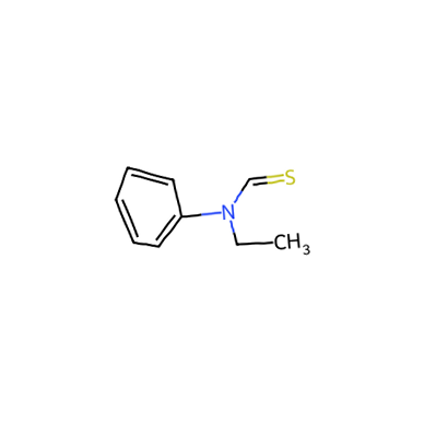 CCN(C=S)c1ccccc1